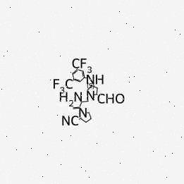 C=C(C(N)CN1C[C@@H](Nc2cc(C(F)(F)F)cc(C(F)(F)F)c2)CC1C=O)N1CCCC1C#N